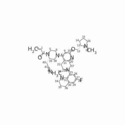 C=CC(=O)N1CCN(c2cc(OC[C@@H]3CCCN3C)nc3c2CCN(c2cc(F)cc4c2N(C)CCC4)C3)C[C@@H]1CC#N